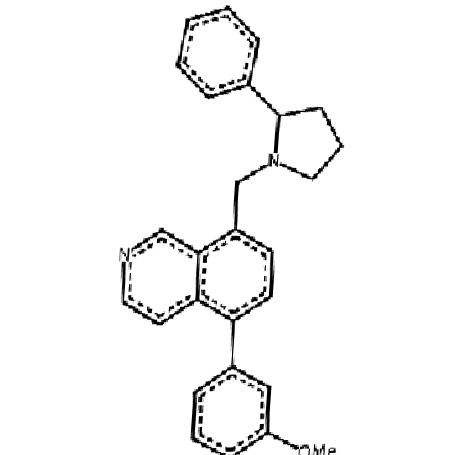 COc1cccc(-c2ccc(CN3CCCC3c3ccccc3)c3cnccc23)c1